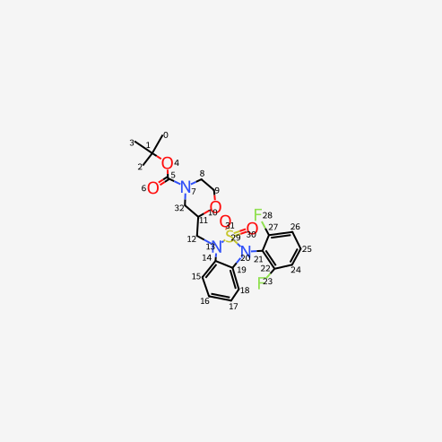 CC(C)(C)OC(=O)N1CCOC(CN2c3ccccc3N(c3c(F)cccc3F)S2(=O)=O)C1